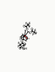 O=C(OCC1(COC(=O)C(F)(F)F)COC2CC3CC(CC(OC(=O)C(F)(F)S(=O)(=O)O)(C3)C2)OC1)C(F)(F)F